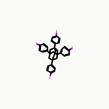 Ic1ccc(C23CC4(c5ccc(I)cc5)CC(c5ccc(I)cc5)(C2)CC(c2ccc(I)cc2)(C3)C4)cc1